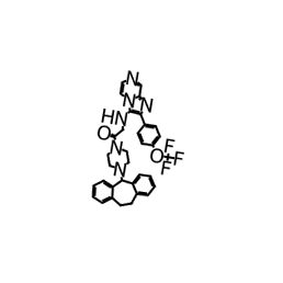 O=C(CNc1c(-c2ccc(OC(F)(F)F)cc2)nc2cnccn12)N1CCN(C2c3ccccc3CCc3ccccc32)CC1